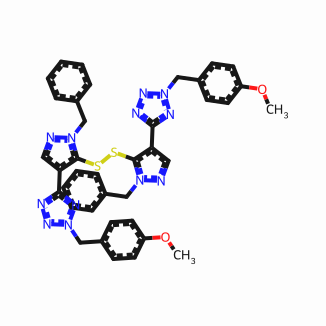 COc1ccc(Cn2nnc(-c3cnn(Cc4ccccc4)c3SSc3c(-c4nnn(Cc5ccc(OC)cc5)n4)cnn3Cc3ccccc3)n2)cc1